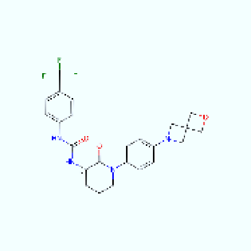 O=C(Nc1ccc(C(F)(F)F)cc1)N[C@H]1CCCN(c2ccc(N3CC4(COC4)C3)cc2)C1=O